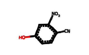 N#Cc1ccc(O)cc1[N+](=O)[O-]